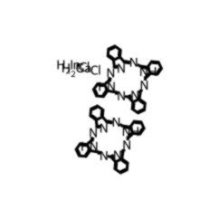 [Cl][GaH2].[Cl][InH2].c1ccc2c(c1)-c1nc-2nc2[nH]c(nc3nc(nc4[nH]c(n1)c1ccccc41)-c1ccccc1-3)c1ccccc21.c1ccc2c(c1)-c1nc-2nc2[nH]c(nc3nc(nc4[nH]c(n1)c1ccccc41)-c1ccccc1-3)c1ccccc21